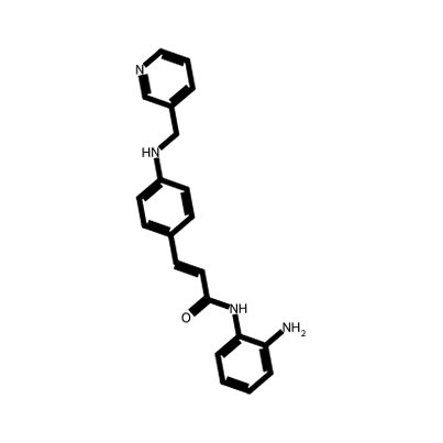 Nc1ccccc1NC(=O)/C=C/c1ccc(NCc2cccnc2)cc1